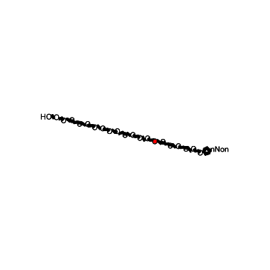 CCCCCCCCCc1ccc(OCCOCCOCCOCCOCCOCCOCCOCCOCCOCCOCCOCCOCCOCCOCCOCCOCCOCCOCCOCCO)cc1